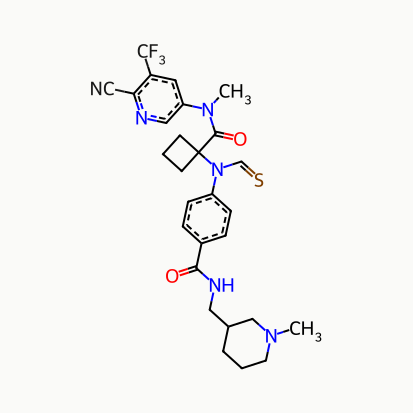 CN1CCCC(CNC(=O)c2ccc(N(C=S)C3(C(=O)N(C)c4cnc(C#N)c(C(F)(F)F)c4)CCC3)cc2)C1